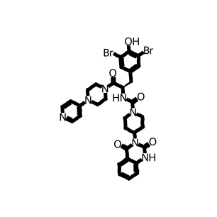 O=C(N[C@H](Cc1cc(Br)c(O)c(Br)c1)C(=O)N1CCN(c2ccncc2)CC1)N1CCC(n2c(=O)[nH]c3ccccc3c2=O)CC1